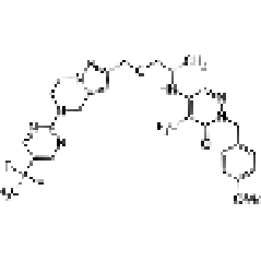 COc1ccc(Cn2ncc(N[C@@H](C)COCc3cc4n(n3)CCN(c3ncc(C(C)(F)F)cn3)C4)c(C(F)(F)F)c2=O)cc1